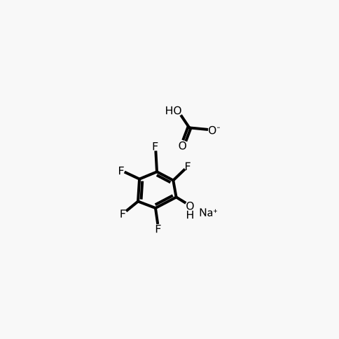 O=C([O-])O.Oc1c(F)c(F)c(F)c(F)c1F.[Na+]